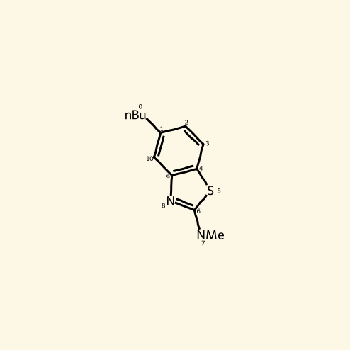 CCCCc1ccc2sc(NC)nc2c1